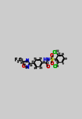 O=C(NS(=O)(=O)c1c(Cl)cccc1Cl)c1ccc(-c2noc(C(F)(F)F)n2)cc1